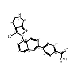 CCc1c2c(nn1-c1cccc3cc(-c4ccc(C(=O)OC)nc4)ncc13)CNCC2